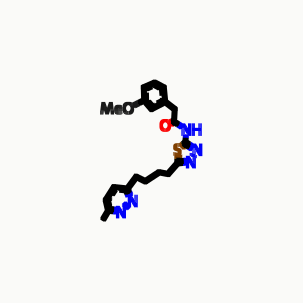 COc1cccc(CC(=O)Nc2nnc(CCCCc3ccc(C)nn3)s2)c1